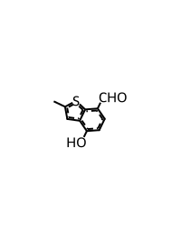 Cc1cc2c(O)ccc(C=O)c2s1